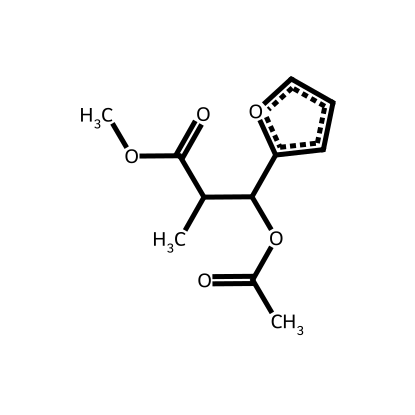 COC(=O)C(C)C(OC(C)=O)c1ccco1